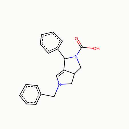 O=C(O)N1CC2CN(Cc3ccccc3)C=C2C1c1ccccc1